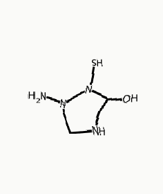 NN1CNC(O)N1S